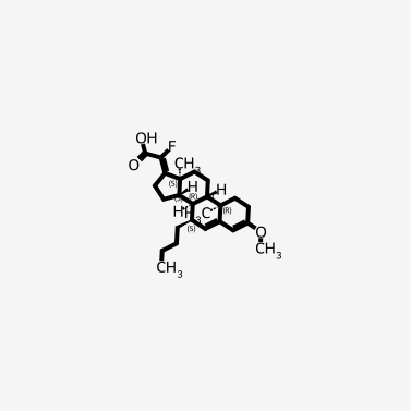 CCCC[C@@H]1C=C2C=C(OC)CC[C@]2(C)[C@H]2CC[C@]3(C)C(=C(F)C(=O)O)CC[C@H]3[C@H]12